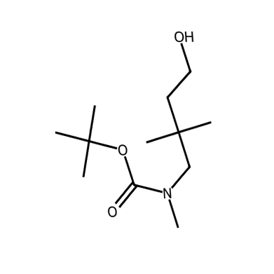 CN(CC(C)(C)CCO)C(=O)OC(C)(C)C